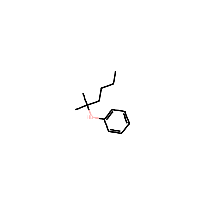 CCCCC(C)(C)Bc1ccccc1